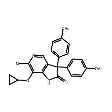 CC(=O)Oc1ccc(C2(c3ccc(OC(C)=O)cc3)C(=O)Nc3c2cnc(Cl)c3OC2CC2)cc1